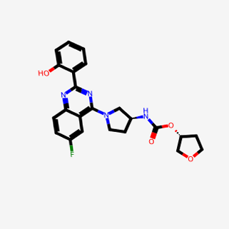 O=C(N[C@H]1CCN(c2nc(-c3ccccc3O)nc3ccc(F)cc23)C1)O[C@@H]1CCOC1